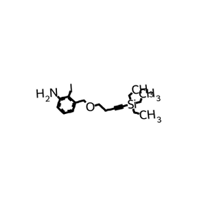 CC[Si](C#CCCOCc1cccc(N)c1I)(CC)CC